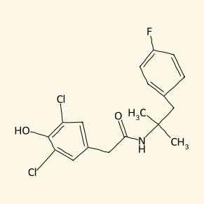 CC(C)(Cc1ccc(F)cc1)NC(=O)Cc1cc(Cl)c(O)c(Cl)c1